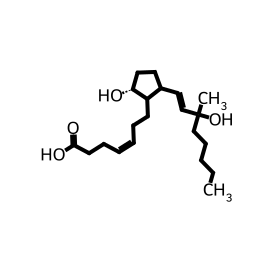 CCCCCC(C)(O)/C=C/C1CC[C@@H](O)C1CC/C=C\CCC(=O)O